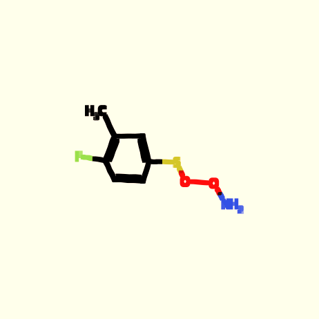 Cc1cc(SOON)ccc1F